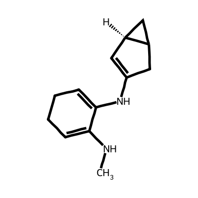 CNC1=CCCC=C1NC1=C[C@H]2CC2C1